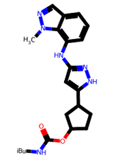 CCC(C)NC(=O)OC1CCC(c2cc(Nc3cccc4cnn(C)c34)n[nH]2)C1